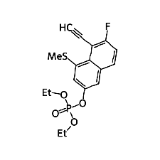 C#Cc1c(F)ccc2cc(OP(=O)(OCC)OCC)cc(SC)c12